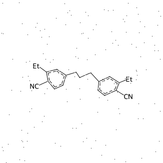 CCc1cc(CCCc2ccc(C#N)c(CC)c2)ccc1C#N